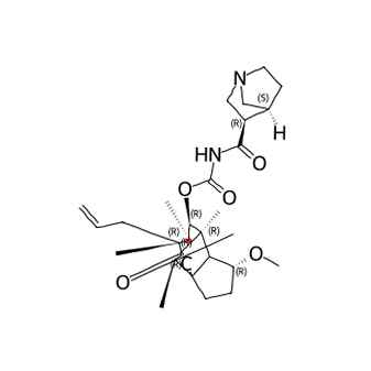 C=CC[C@]1(C)C[C@@H](OC(=O)NC(=O)[C@H]2CN3CC[C@@H]2C3)[C@@]2(C)C3[C@H](OC)CCC3(CC[C@H]2C)[C@@H](C)C1=O